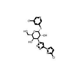 OC[C@H]1O[C@H](Sc2cncc(Cl)c2)[C@H](O)[C@@H](n2cc(-n3ccc(Cl)n3)nn2)[C@H]1O